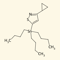 CCC[CH2][Sn]([CH2]CCC)([CH2]CCC)[c]1cc(C2CC2)ns1